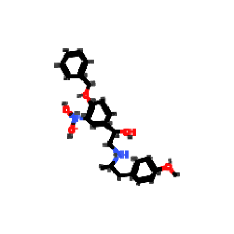 COc1ccc(CC(C)NCC(O)c2ccc(OCc3ccccc3)c([N+](=O)[O-])c2)cc1